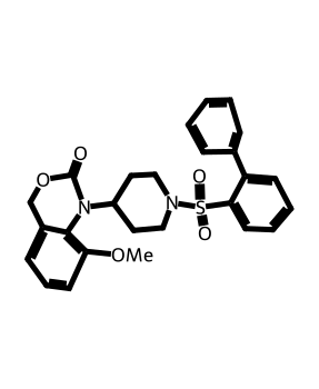 COc1cccc2c1N(C1CCN(S(=O)(=O)c3ccccc3-c3ccccc3)CC1)C(=O)OC2